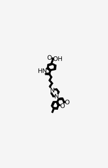 Cc1ccc2c(N3CCN(CCCCc4c[nH]c5cc(C(=O)O)ccc45)CC3)cc(=O)oc2c1